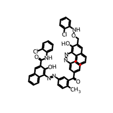 Cc1ccc(N=Nc2c(O)c(C(=O)Nc3ccccc3Cl)cc3ccccc23)cc1C(=O)c1cccc(N=Nc2c(O)c(CONc3ccccc3Cl)cc3ccccc23)c1